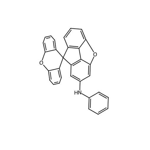 c1ccc(Nc2cc3c4c(c2)oc2cccc(c24)C32c3ccccc3Oc3ccccc32)cc1